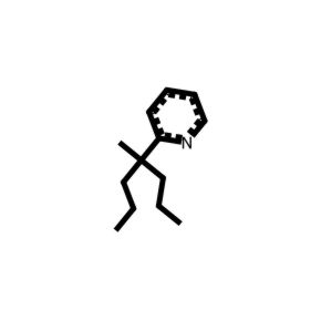 CCCC(C)(CCC)c1ccccn1